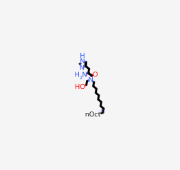 CCCCCCCC/C=C\CCCCCCCCN(CCO)C(=O)[C@@H](N)Cc1c[nH]cn1